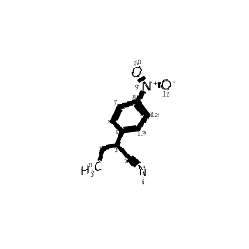 CCC(C#N)c1ccc([N+](=O)[O-])cc1